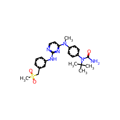 CN(c1ccc(N(C(N)=O)C(C)(C)C)cc1)c1ccnc(Nc2cccc(CS(C)(=O)=O)c2)n1